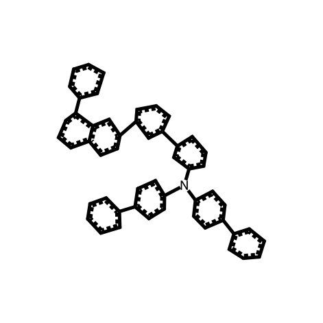 c1ccc(-c2ccc(N(c3ccc(-c4ccccc4)cc3)c3cccc(-c4cccc(-c5ccc6cccc(-c7ccccc7)c6c5)c4)c3)cc2)cc1